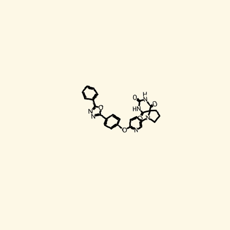 O=C1NC(=O)C2(CCCN2c2ccc(Oc3ccc(-c4nnc(-c5ccccc5)o4)cc3)nc2)C(=O)N1